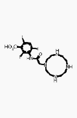 O=C(CN1CCNCCNCCNCC1)Nc1c(I)cc(I)c(C(=O)O)c1I